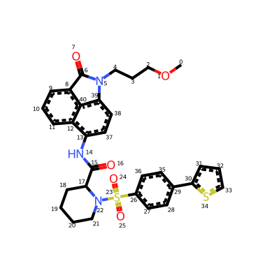 COCCCN1C(=O)c2cccc3c(NC(=O)C4CCCCN4S(=O)(=O)c4ccc(-c5cccs5)cc4)ccc1c23